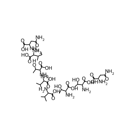 CC(C)C(N)C(=O)O.CC(C)C(N)C(=O)O.CC(O)C(N)C(=O)O.CC(O)C(N)C(=O)O.CC(O)C(N)C(=O)O.CCC(C)C(N)C(=O)O.NC(=O)CC(N)C(=O)O.NC(=O)CC(N)C(=O)O